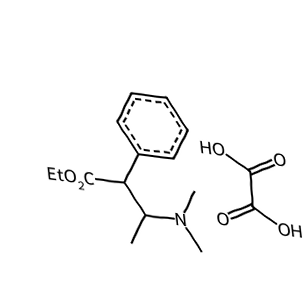 CCOC(=O)C(c1ccccc1)C(C)N(C)C.O=C(O)C(=O)O